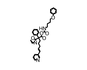 O=C(NCCCCOc1ccccc1)OC(=O)C(CCCC=Cc1cccnc1)(c1ccccc1)c1ncco1